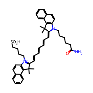 CC1(C)C(/C=C/C=C/C=C/C=C2/N(CCCCCC(N)=O)c3ccc4ccccc4c3C2(C)C)=[N+](CCCCS(=O)(=O)O)c2ccc3ccccc3c21